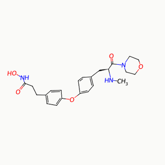 CN[C@@H](Cc1ccc(Oc2ccc(CCC(=O)NO)cc2)cc1)C(=O)N1CCOCC1